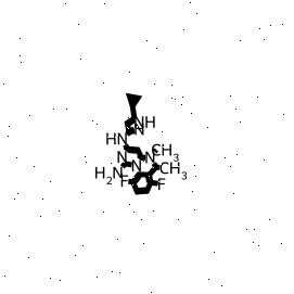 CC(c1cc(F)ccc1F)N(C)c1cc(Nc2cc(C3CC3)[nH]n2)nc(N)n1